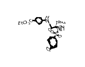 CCCC[C@H](NS(=O)(=O)c1ccc(Cl)cc1)C(=O)Nc1ccc(C(=O)OCC)cc1